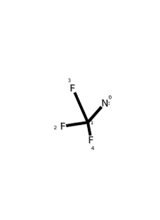 [N]C(F)(F)F